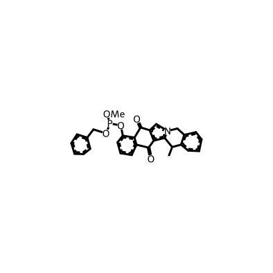 COP(OCc1ccccc1)Oc1cccc2c1C(=O)c1cn3c(c1C2=O)C(C)c1ccccc1C3